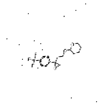 FC(F)(F)c1ccc(C2(CCOC3CCCCO3)CO2)cc1